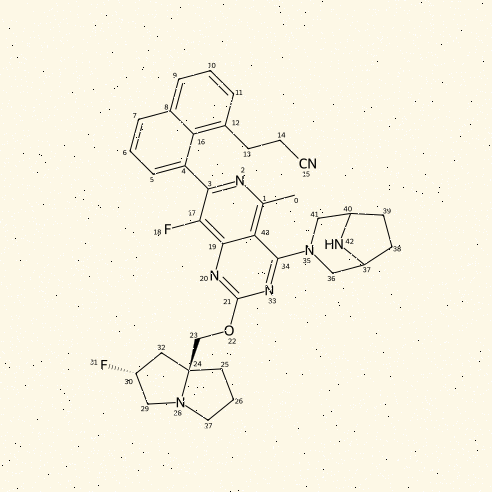 Cc1nc(-c2cccc3cccc(CCC#N)c23)c(F)c2nc(OC[C@@]34CCCN3C[C@H](F)C4)nc(N3CC4CCC(C3)N4)c12